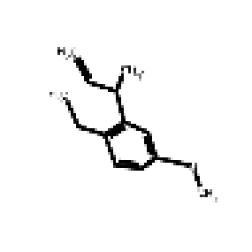 [CH2]C(C=C)c1cc(OC)ccc1CC